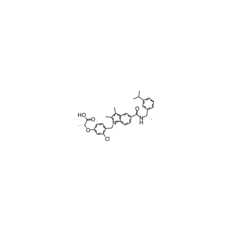 Cc1c(C)n(Cc2ccc(O[C@H](C)C(=O)O)cc2Cl)c2ccc(C(=O)N[C@@H](C)c3cccc(C(C)C)c3)cc12